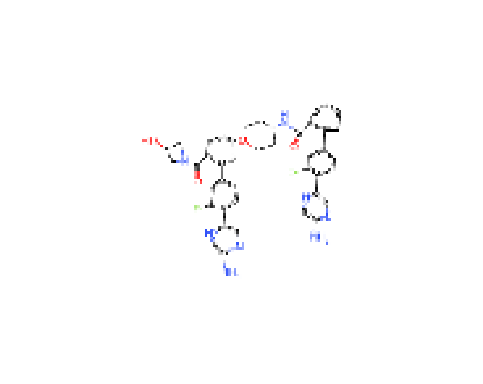 Nc1cnc(-c2ccc(-c3ccccc3C(=O)N3CC(O)C3)cc2F)cn1.Nc1cnc(-c2ccc(-c3ccccc3C(=O)NC3CCOCC3)cc2F)cn1